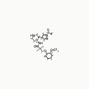 CC(C)(COc1ncccc1OC(F)(F)F)C(=O)N[C@@H]1CCNC[C@H]1c1cnn(C(F)F)c1